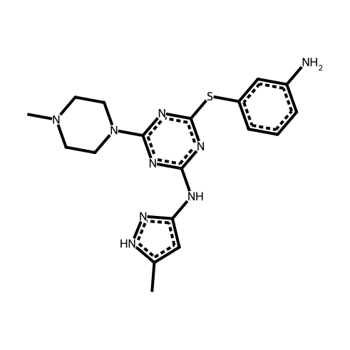 Cc1cc(Nc2nc(Sc3cccc(N)c3)nc(N3CCN(C)CC3)n2)n[nH]1